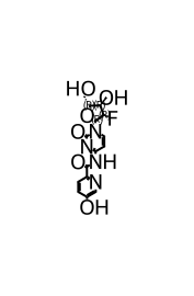 O=C(Nc1ccn([C@@H]2O[C@H](CO)[C@@H](O)[C@H]2F)c(=O)n1)c1ccc(O)cn1